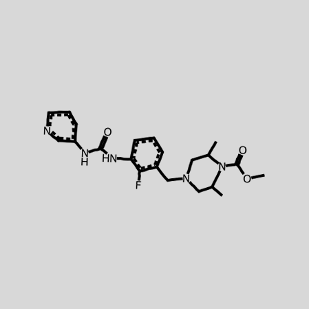 COC(=O)N1C(C)CN(Cc2cccc(NC(=O)Nc3cccnc3)c2F)CC1C